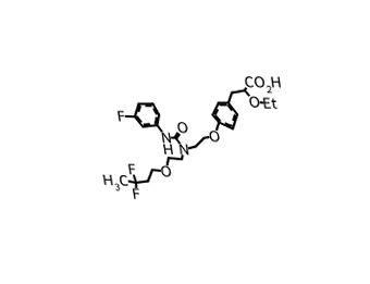 CCOC(Cc1ccc(OCCN(CCOCCC(C)(F)F)C(=O)Nc2cccc(F)c2)cc1)C(=O)O